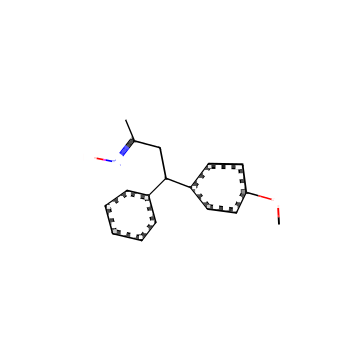 COc1ccc(C(CC(C)=NO)c2ccccc2)cc1